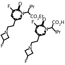 CC(C)C(C(=O)O)n1cc(CCN2CC(F)C2)cc(F)c1=O.CCOC(=O)C(C(C)C)n1cc(CCN2CC(F)C2)cc(F)c1=O